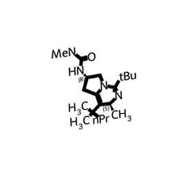 CCCC(C)(C)C1=C2C[C@@H](NC(=O)NC)CN2C(C(C)(C)C)=N[C@H]1C